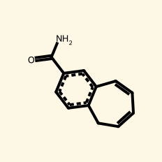 NC(=O)c1ccc2c(c1)C=CC=CC2